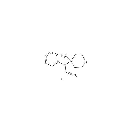 C=CC(c1ccccc1)[N+]1(C)CCOCC1.[Cl-]